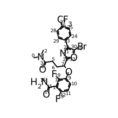 CN(C)C(=O)CCC(Oc1ccc(F)c(C(N)=O)c1F)c1nc(-c2ccc(C(F)(F)F)cc2)c(Br)o1